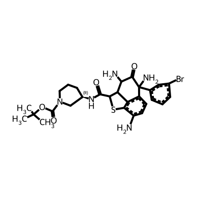 CC(C)(C)OC(=O)N1CCC[C@@H](NC(=O)C2Sc3c(N)ccc4c3C2C(N)C(=O)C4(N)c2cccc(Br)c2)C1